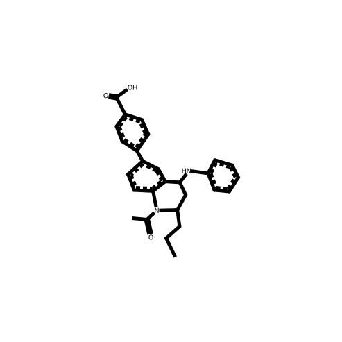 CCCC1CC(Nc2ccccc2)c2cc(-c3ccc(C(=O)O)cc3)ccc2N1C(C)=O